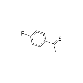 CC(=S)c1ccc(F)cc1